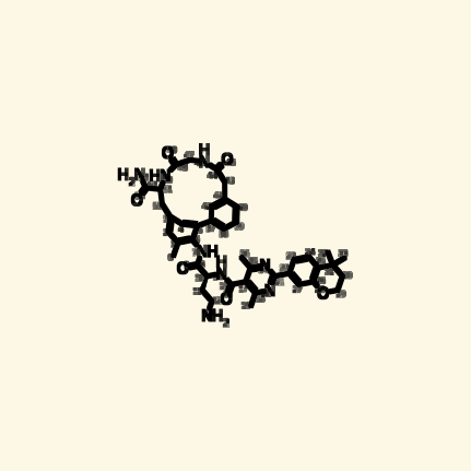 Cc1cc2cc(c1NC(=O)[C@H](CCN)NC(=O)c1c(C)nc(-c3ccc4c(c3)OCCC4(C)C)nc1C)-c1cccc(c1)CC(=O)NCC(=O)NC(C(N)=O)C2